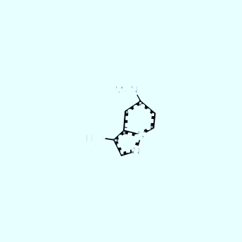 Bc1cnn2ccc(NC)cc12